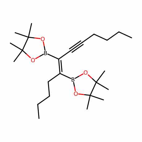 CCCCC#CC(B1OC(C)(C)C(C)(C)O1)=C(CCCC)B1OC(C)(C)C(C)(C)O1